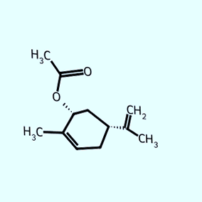 C=C(C)[C@@H]1CC=C(C)[C@H](OC(C)=O)C1